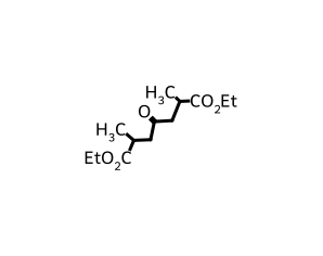 CCOC(=O)C(C)CC(=O)CC(C)C(=O)OCC